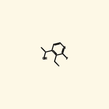 CCc1c(C(C)O)ccnc1F